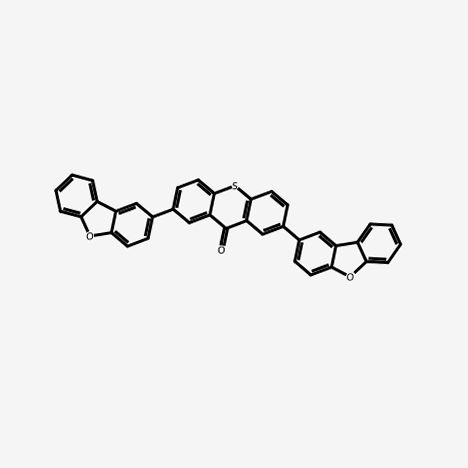 O=c1c2cc(-c3ccc4oc5ccccc5c4c3)ccc2sc2ccc(-c3ccc4oc5ccccc5c4c3)cc12